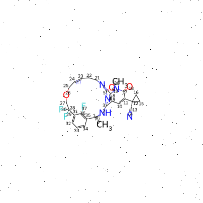 C[C@H]1Nc2nc(=O)n(c3c2cc(C2(C#N)CC2)c(=O)n3C)CC/C=C\COCC(F)(F)c2cccc1c2F